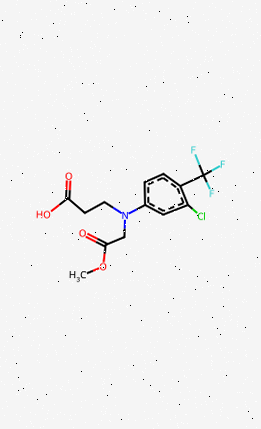 COC(=O)CN(CCC(=O)O)c1ccc(C(F)(F)F)c(Cl)c1